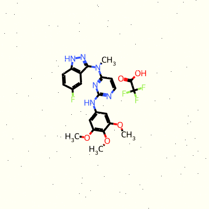 COc1cc(Nc2nccc(N(C)c3n[nH]c4ccc(F)cc34)n2)cc(OC)c1OC.O=C(O)C(F)(F)F